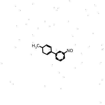 CC1C=CC(c2cccc(N=O)c2)=CC1